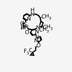 C[C@H]1CCNc2cccc(n2)S(=O)(=O)NC(=O)c2ccc(-n3ccc(OCCC4(C(F)(F)F)CC4)n3)nc2N2CC1CC2(C)C